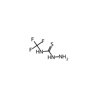 NNC(=S)NC(F)(F)F